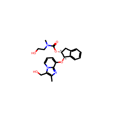 Cc1nc2c(O[C@@H]3c4ccccc4C[C@H]3OC(=O)N(C)CCO)cccn2c1CO